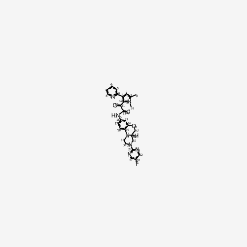 Cc1cc(-c2ccccn2)c(C(=O)C(=O)Nc2ccc3c(c2)OC[C@@H]2CN(c4ncc(F)cn4)CCN32)n1C